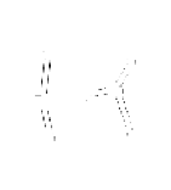 [O]=[La](=[O])=[O].[O]=[Ti]=[O]